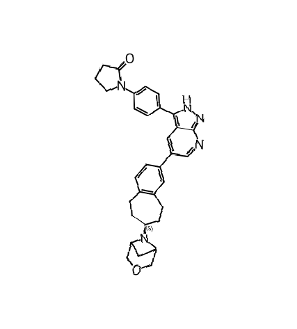 O=C1CCCN1c1ccc(-c2[nH]nc3ncc(-c4ccc5c(c4)CC[C@@H](N4C6COCC4C6)CC5)cc23)cc1